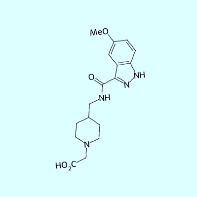 COc1ccc2[nH]nc(C(=O)NCC3CCN(CC(=O)O)CC3)c2c1